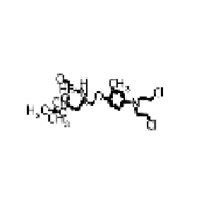 Cc1cc(N(CCCl)CCCl)ccc1OC[C@@H](CC(=O)OC(C)(C)C)NBC=O